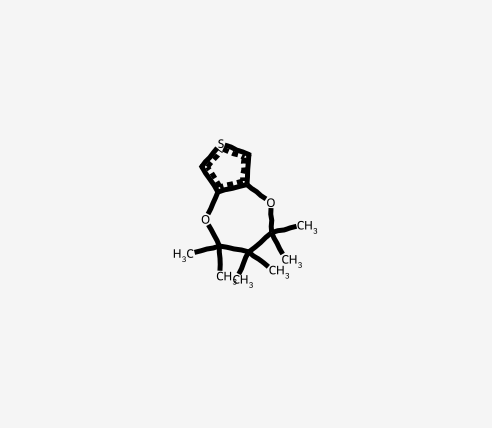 CC1(C)Oc2cscc2OC(C)(C)C1(C)C